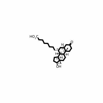 C[C@]12CCC(=O)C[C@@H]1C[C@@H](CCCCCCCC(=O)O)[C@@H]1[C@@H]2CC[C@]2(C)[C@@H](O)CC[C@@H]12